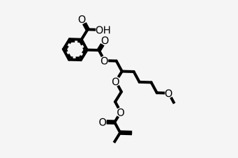 C=C(C)C(=O)OCCOC(CCCCOC)COC(=O)c1ccccc1C(=O)O